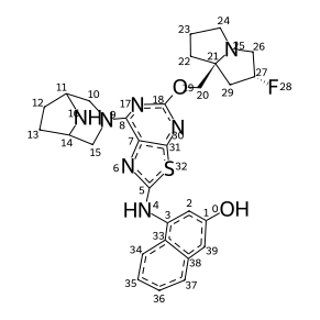 Oc1cc(Nc2nc3c(N4CC5CCC(C4)N5)nc(OC[C@@]45CCCN4C[C@H](F)C5)nc3s2)c2ccccc2c1